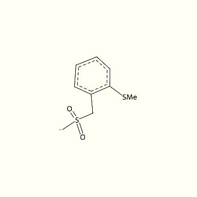 [CH2]S(=O)(=O)Cc1ccccc1SC